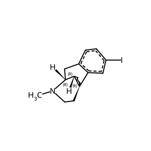 CN1CC[C@]23CCCC[C@H]2[C@H]1Cc1ccc(I)cc13